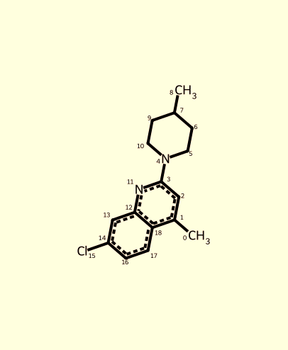 Cc1cc(N2CCC(C)CC2)nc2cc(Cl)ccc12